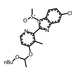 CCCCOC(C)Oc1ccnc(-c2nc3cc(Cl)ccc3n2[S+](C)[O-])c1C